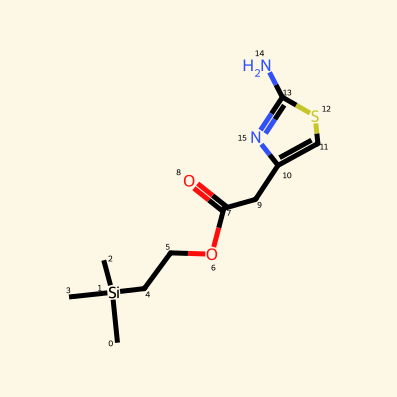 C[Si](C)(C)CCOC(=O)Cc1csc(N)n1